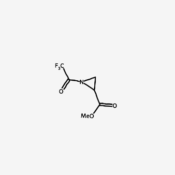 COC(=O)C1CN1C(=O)C(F)(F)F